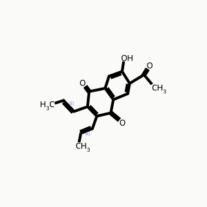 C/C=C/C1=C(/C=C/C)C(=O)c2cc(C(C)=O)c(O)cc2C1=O